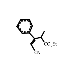 CCOC(=O)C(C)C(=CC#N)c1ccccc1